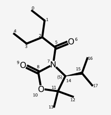 CCC(CC)C(=O)N1C(=O)OC(C)(C)[C@@H]1C(C)C